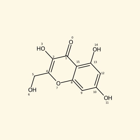 O=c1c(O)c(CO)oc2cc(O)cc(O)c12